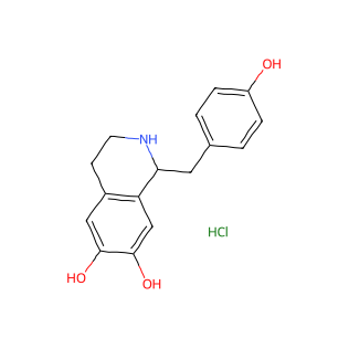 Cl.Oc1ccc(CC2NCCc3cc(O)c(O)cc32)cc1